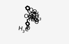 COc1ccc(CC(NC(=O)C2COCCN2)C(=O)N[C@@H](Cc2ccccc2)C(=O)C2(C)CO2)cc1